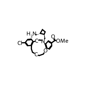 COC(=O)c1ccc2c(c1)N(C[C@@H]1CC[C@H]1CN)CCc1ccc(Cl)cc1CCCCCO2